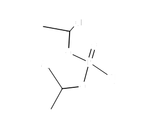 CC(Cl)OP(=O)(Cl)OC(C)Cl